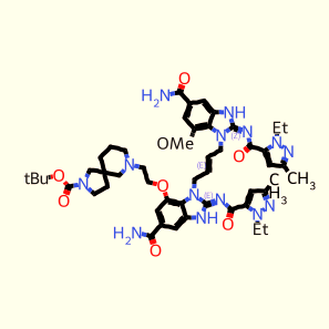 CCn1nc(C)cc1C(=O)/N=c1/[nH]c2cc(C(N)=O)cc(OC)c2n1C/C=C/Cn1/c(=N/C(=O)c2cc(C)nn2CC)[nH]c2cc(C(N)=O)cc(OCCN3CCCC4(CCN(C(=O)OC(C)(C)C)C4)C3)c21